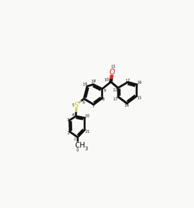 Cc1ccc(Sc2ccc(C(=O)c3ccccc3)cc2)cc1